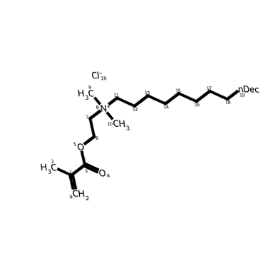 C=C(C)C(=O)OCC[N+](C)(C)CCCCCCCCCCCCCCCCCC.[Cl-]